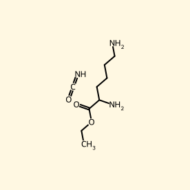 CCOC(=O)C(N)CCCCN.N=C=O